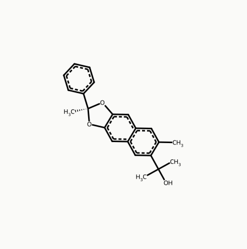 Cc1cc2cc3c(cc2cc1C(C)(C)O)O[C@@](C)(c1ccccc1)O3